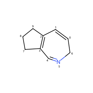 C1=CC2=C(C=NC1)CCC2